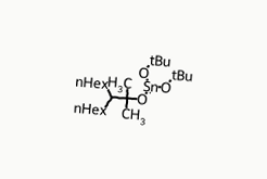 CCCCCCC(CCCCCC)C(C)(C)[O][Sn]([O]C(C)(C)C)[O]C(C)(C)C